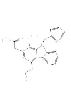 CCCc1cc(CC(=O)O)c(SC)c2c1c1ccccc1n2Cc1ccccc1